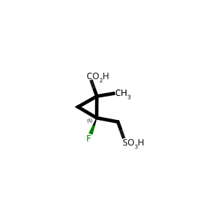 CC1(C(=O)O)C[C@@]1(F)CS(=O)(=O)O